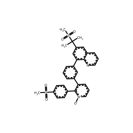 CC(C)(c1cc(-c2cccc(-c3ccc[n+]([O-])c3-c3ccc(S(C)(=O)=O)cc3)c2)c2ncccc2c1)S(C)(=O)=O